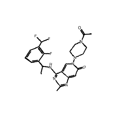 CC(=O)N1CCN(n2cc3c(NC(C)c4cccc(C(F)F)c4F)nc(C)nc3cc2=O)CC1